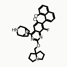 Fc1c(-c2cccc3cccc(Cl)c23)c(Cl)cc2c(N3C4CCC3CNC4)nc(OCC34CCCN3CCC4)nc12